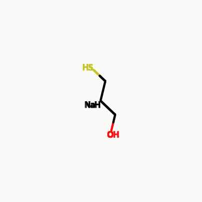 OCCCS.[NaH]